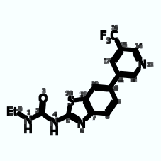 CCNC(=O)Nc1nc2ccc(-c3cncc(C(F)(F)F)c3)cc2s1